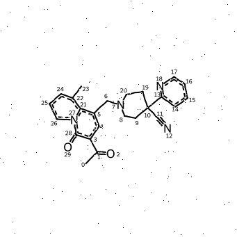 CC(=O)c1cc(CN2CCC(C#N)(c3ccccn3)CC2)c2c(C)cccn2c1=O